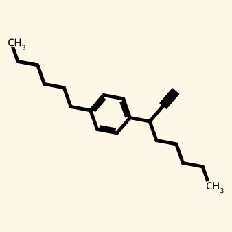 [C]#CC(CCCCC)c1ccc(CCCCCC)cc1